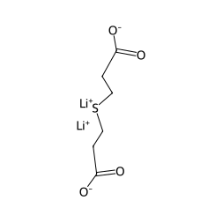 O=C([O-])CCSCCC(=O)[O-].[Li+].[Li+]